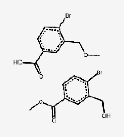 COC(=O)c1ccc(Br)c(CO)c1.COCc1cc(C(=O)O)ccc1Br